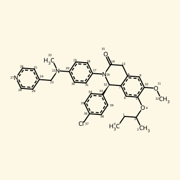 CCC(C)Oc1cc2c(cc1OC)CC(=O)N(c1ccc(N(C)Cc3ccncc3)cc1)[C@@H]2c1ccc(Cl)cc1